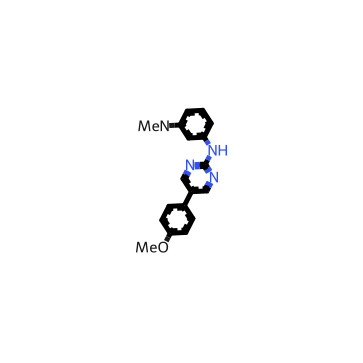 CNc1cccc(Nc2ncc(-c3ccc(OC)cc3)cn2)c1